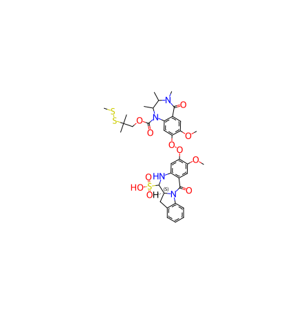 COc1cc2c(cc1OOc1cc3c(cc1OC)C(=O)N(C)C(C)C(C)N3C(=O)OCC(C)(C)SSC)NC(S(=O)(=O)O)[C@@H]1Cc3ccccc3N1C2=O